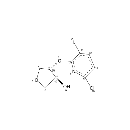 O[C@H]1COC[C@@H]1Oc1nc(Cl)ccc1I